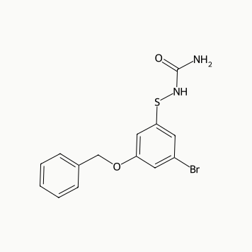 NC(=O)NSc1cc(Br)cc(OCc2ccccc2)c1